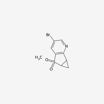 C.O=S1(=O)c2cc(Br)cnc2C2CC21